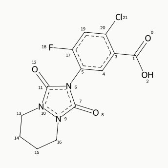 O=C(O)c1cc(-n2c(=O)n3n(c2=O)CCCC3)c(F)cc1Cl